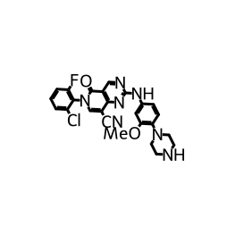 COc1cc(Nc2ncc3c(=O)n(-c4c(F)cccc4Cl)cc(C#N)c3n2)ccc1N1CCNCC1